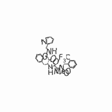 COc1cccc(C(F)(F)F)c1CN1C(=O)CC[C@H]1C(=O)NC(Cc1ccccc1)C(=O)C(=O)NCc1ccccn1